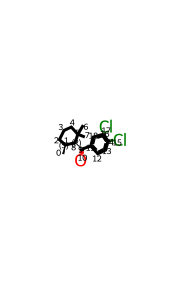 C[C@H]1CCCC(C)(C)[C@@H]1C(=O)c1ccc(Cl)c(Cl)c1